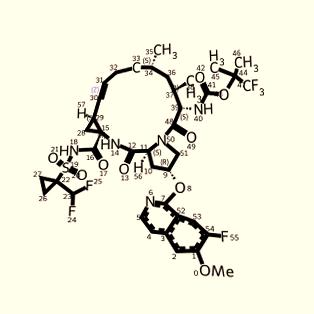 COc1cc2ccnc(O[C@@H]3C[C@H]4C(=O)N[C@]5(C(=O)NS(=O)(=O)C6(C(F)F)CC6)C[C@H]5/C=C\CC[C@H](C)C[C@@H](C)[C@H](NC(=O)OC(C)(C)C(F)(F)F)C(=O)N4C3)c2cc1F